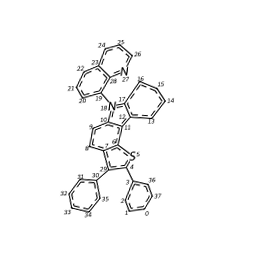 c1ccc(-c2sc3c(ccc4c3c3ccccc3n4-c3cccc4cccnc34)c2-c2ccccc2)cc1